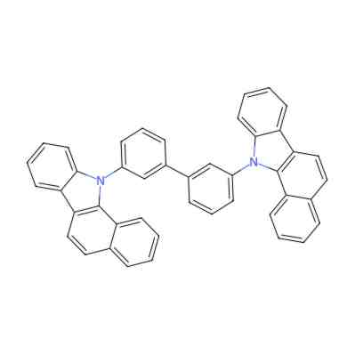 c1cc(-c2cccc(-n3c4ccccc4c4ccc5ccccc5c43)c2)cc(-n2c3ccccc3c3ccc4ccccc4c32)c1